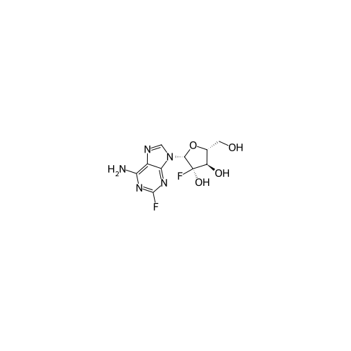 Nc1nc(F)nc2c1ncn2[C@@H]1O[C@H](CO)[C@@H](O)[C@@]1(O)F